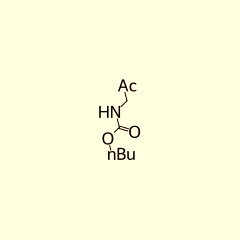 CCCCOC(=O)NCC(C)=O